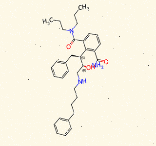 CCCN(CCC)C(=O)c1cccc(C(N)=O)c1[C@H](Cc1ccccc1)[C@@H](O)CNCCCCc1ccccc1